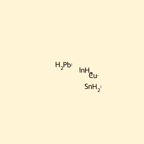 [Cu].[InH3].[PbH2].[SnH2]